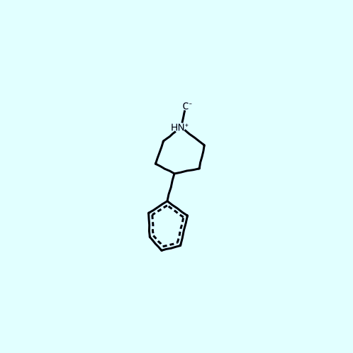 [CH2-][NH+]1CCC(c2ccccc2)CC1